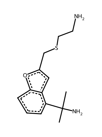 CC(C)(N)c1cccc2oc(CSCCN)cc12